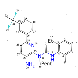 C=C(Nc1c(C)cccc1CC)N(CCCCC)c1nc(-c2cccc(C(C)(F)F)c2)ccc1N